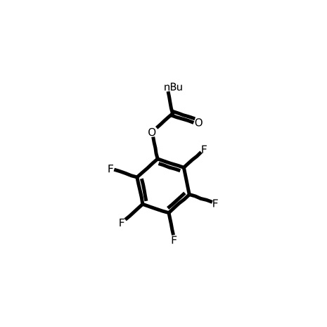 [CH2]CCCC(=O)Oc1c(F)c(F)c(F)c(F)c1F